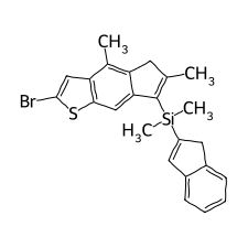 CC1=C([Si](C)(C)C2=Cc3ccccc3C2)c2cc3sc(Br)cc3c(C)c2C1